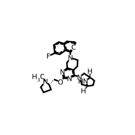 CN1CCC[C@H]1COc1nc2c(c(N3C[C@H]4CC[C@@H](C3)N4)n1)CCN(c1cccc3ccc(F)cc13)C2